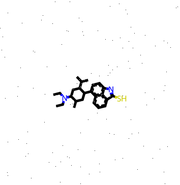 CCN(CC)C1CC(C(C)C)C(c2ccc3c4c(cccc24)C(S)=N3)CC1C